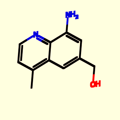 Cc1ccnc2c(N)cc(CO)cc12